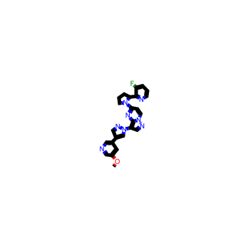 COc1cncc(-c2cnn(-c3cnn4ccc(N5CCCC5c5ncccc5F)nc34)c2)c1